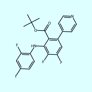 CC(C)(C)OC(=O)c1c(-c2ccncc2)cc(F)c(F)c1Nc1ccc(I)cc1F